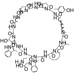 CC[C@@H]1NC(=O)CNC(=O)[C@H]2SCC3CC[C@@H](NC(=O)[C@@H]4CCCN4C(=O)[C@H](Cc4ccc(O)cc4)NC(=O)CSCCN(C)C(=O)[C@H](CC(C)C)NC(=O)C4CCCCCCC(NC(=O)[C@H](Cc5cn(CC(=O)O)c6ccccc56)NC(=O)[C@H](CCN)NC(=O)[C@H](Cc5c[nH]c6ccccc56)NC(=O)[C@@H]5C[C@@H](O)CN5C1=O)C(=O)N4C)C(=O)N32